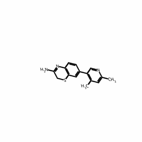 Cc1cc(C)c(-c2ccc3c(c2)SCC(N)=N3)cn1